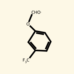 O=[C]Oc1cccc(C(F)(F)F)c1